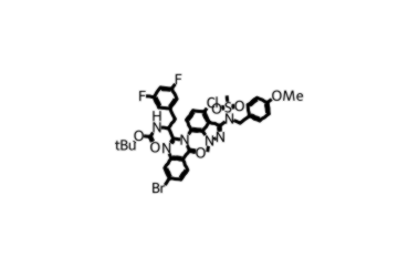 COc1ccc(CN(c2nn(C)c3c(-n4c(C(Cc5cc(F)cc(F)c5)NC(=O)OC(C)(C)C)nc5cc(Br)ccc5c4=O)ccc(Cl)c23)S(C)(=O)=O)cc1